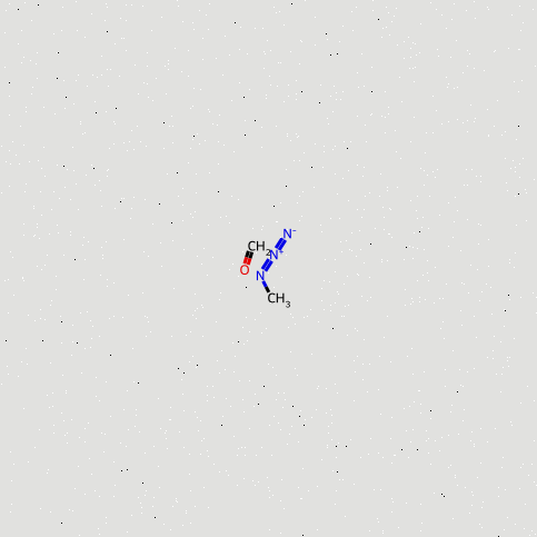 C=O.CN=[N+]=[N-]